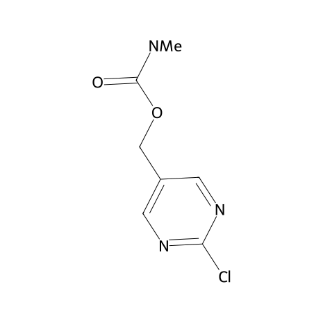 CNC(=O)OCc1cnc(Cl)nc1